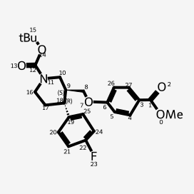 COC(=O)c1ccc(OC[C@@H]2CN(C(=O)OC(C)(C)C)CC[C@H]2c2ccc(F)cc2)cc1